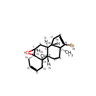 C[C@]12CC[C@H]3[C@@H](C[C@@H]4O[C@@]45CC=CC[C@]35C)[C@@H]1CC=C2Br